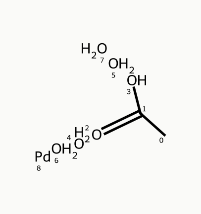 CC(=O)O.O.O.O.O.[Pd]